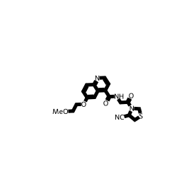 COCCOc1ccc2nccc(C(=O)NCC(=O)N3CSCC3C#N)c2c1